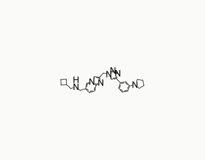 c1cc(-c2cn(Cc3cn4cc(CNCC5CCC5)ccc4n3)nn2)cc(N2CCCC2)c1